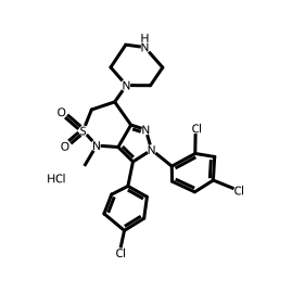 CN1c2c(nn(-c3ccc(Cl)cc3Cl)c2-c2ccc(Cl)cc2)C(N2CCNCC2)CS1(=O)=O.Cl